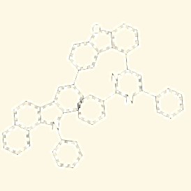 c1ccc(-c2cc(-c3cccc4oc5ccc(-c6ccc7c(c6)c6ccc8ccccc8c6n7-c6ccccc6)cc5c34)nc(-c3ccccc3)n2)cc1